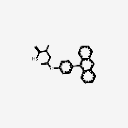 C=C(S)C(C)CC(C)Oc1ccc(-c2c3ccccc3cc3ccccc23)cc1